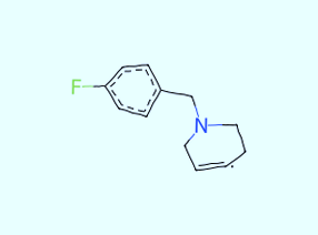 Fc1ccc(CN2CC=[C]CC2)cc1